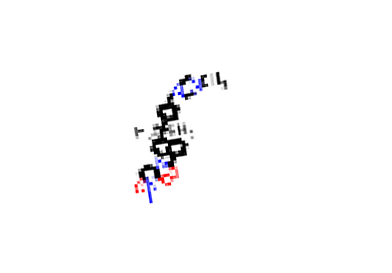 BC(B)(c1ccc(CN2CCN(C)CC2)cc1)c1ccc2c3c(cccc13)C(=O)N2C1CCC(=O)NC1=O